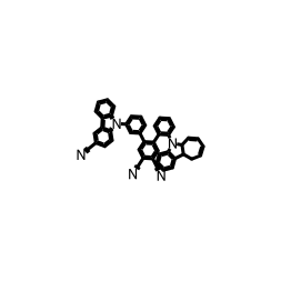 N#Cc1ccc2c(c1)c1ccccc1n2-c1cccc(-c2cc(C#N)c(C#N)cc2-c2ccccc2N2c3ccccc3C3CC=CC=CC32)c1